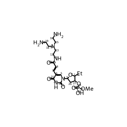 CCC1OC(n2cc(/C=C/C(=O)NCCN(CCN)CCN)c(=O)[nH]c2=O)CC1OP(=O)(O)OC